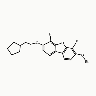 CCOc1ccc2c(oc3c(F)c(OCCC4CCCC4)ccc32)c1F